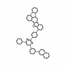 c1ccc(-c2cc(-c3cccc(-c4ccc5ccccc5c4)c3)nc(-c3ccc(-c4cccc5c4oc4c6cccc7c6c(cc54)-c4ccccc4-7)cc3)n2)cc1